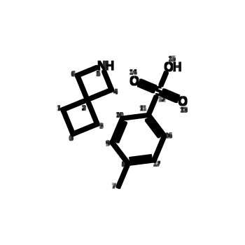 C1CC2(C1)CNC2.Cc1ccc(S(=O)(=O)O)cc1